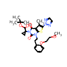 COCCOc1ccccc1CCn1c(=O)n(C2(C(=O)OC(C)(C)C)CC2)c(=O)c2c(C)c(-n3nccn3)sc21